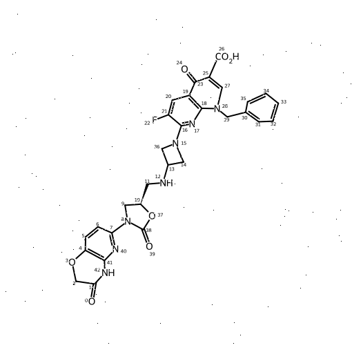 O=C1COc2ccc(N3C[C@@H](CNC4CN(c5nc6c(cc5F)c(=O)c(C(=O)O)cn6Cc5ccccc5)C4)OC3=O)nc2N1